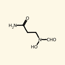 NC(=O)CCN(O)C=O